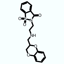 O=C1c2ccccc2S(=O)(=O)N1CCNCC1COc2ccccc2O1